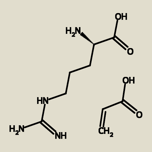 C=CC(=O)O.N=C(N)NCCC[C@H](N)C(=O)O